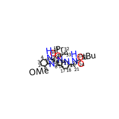 COc1cccc2c1N(C)[C@@](C(=O)OC(C)C)(c1cc3ccc(C(C)NC(=O)OC(C)(C)C)nc3n1CC1CC1)N2